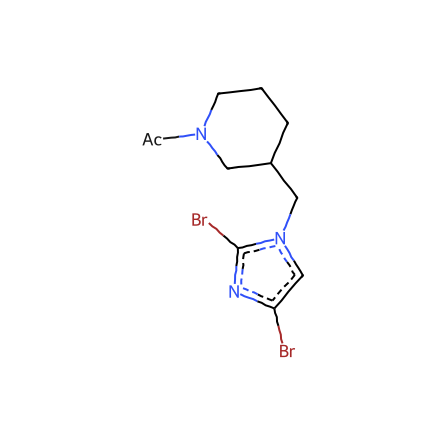 CC(=O)N1CCCC(Cn2cc(Br)nc2Br)C1